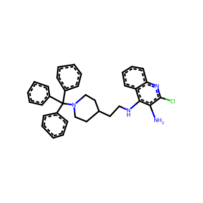 Nc1c(Cl)nc2ccccc2c1NCCC1CCN(C(c2ccccc2)(c2ccccc2)c2ccccc2)CC1